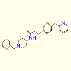 C=C(CCc1ccc(Cc2ccccn2)cc1)NC1CCN(CC2=CCCC=C2)CC1